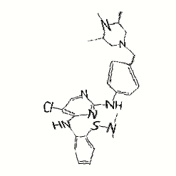 CC1CN(Cc2ccc(Nc3ncc(Cl)c(Nc4ccccc4SN(C)C)n3)cc2)CC(C)N1C